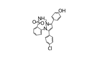 NS(=O)(=O)c1ccccc1-n1nc(-c2ccc(O)cc2)cc1-c1ccc(Cl)cc1